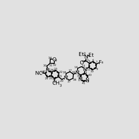 CCN(CC)C(=O)c1cc(F)ccc1N1CCN(C2CCN(Cc3ccc4c(cc(C#N)n4CC4COC4)c3C)CC2)c2ncncc21